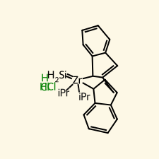 CC1=Cc2ccccc2[CH]1[Zr](=[SiH2])([CH](C)C)([CH](C)C)[CH]1C=Cc2ccccc21.Cl.Cl